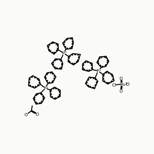 CC(=O)[O-].[O]=[Ru-2](=[O])([Cl])[Cl].c1ccc([P+](c2ccccc2)(c2ccccc2)c2ccccc2)cc1.c1ccc([P+](c2ccccc2)(c2ccccc2)c2ccccc2)cc1.c1ccc([P+](c2ccccc2)(c2ccccc2)c2ccccc2)cc1